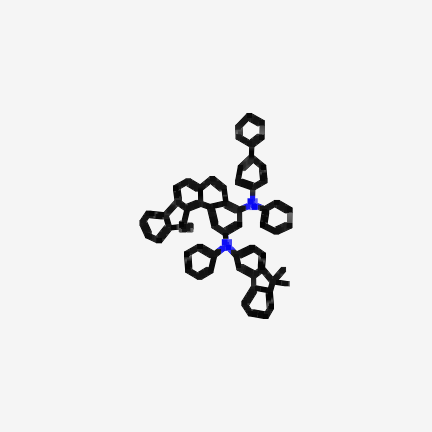 CC1(C)c2ccccc2-c2cc(N(c3ccccc3)c3cc(N(c4ccccc4)c4ccc(-c5ccccc5)cc4)c4ccc5ccc6c7ccccc7[se]c6c5c4c3)ccc21